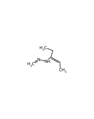 C=NN/C(=C\C)CC